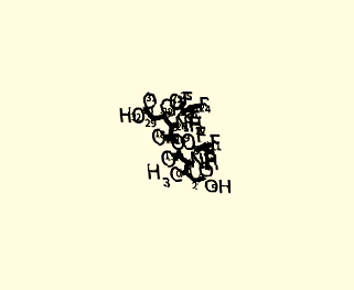 CC(CC(=O)O)C(NC(=O)C(F)(F)F)C(=O)OC(=O)C(NC(=O)C(F)(F)F)C(C)CC(=O)O